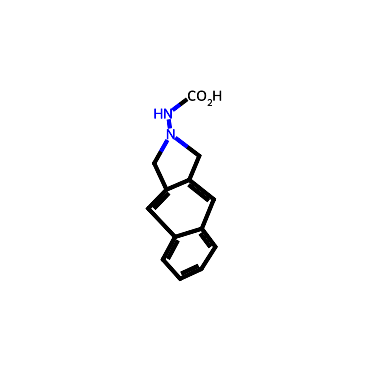 O=C(O)NN1Cc2cc3ccccc3cc2C1